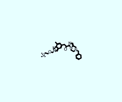 Cc1cc(CC(=O)c2ncc3n2CCN(CC2=CC=CCC2)C3)cc2cn(COCC[Si](C)(C)C)nc12